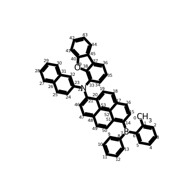 Cc1ccccc1B(c1ccccc1)c1ccc2ccc3c(N(c4ccc5ccccc5c4)c4cccc5c4oc4ccccc45)ccc4ccc1c2c43